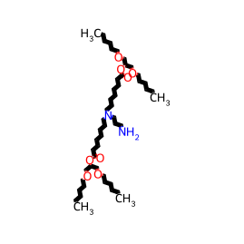 CCCCCCOCC(COCCCCCC)OC(=O)CCCCCCCN(CCCN)CCCCCCCC(=O)OC(COCCCCCC)COCCCCCC